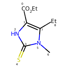 CCOC(=O)c1[nH]c(=S)n(C)c1CC